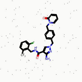 Nc1nn(Cc2ccc(Cn3ccccc3=O)cc2)cc1C(=O)NCc1c(F)cccc1C(F)(F)F